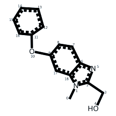 Cn1c(CO)nc2ccc(Oc3ccccc3)cc21